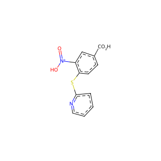 O=C(O)c1ccc(Sc2ccccn2)c([N+](=O)O)c1